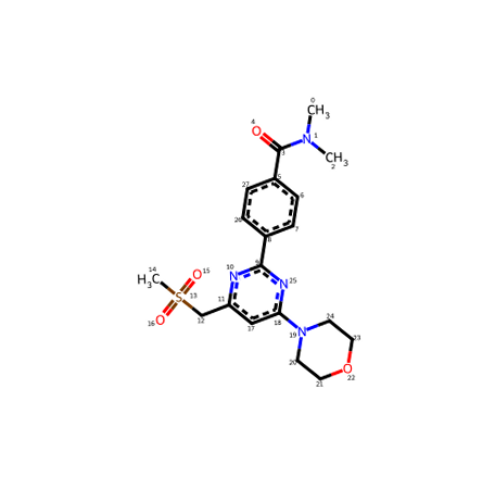 CN(C)C(=O)c1ccc(-c2nc(CS(C)(=O)=O)cc(N3CCOCC3)n2)cc1